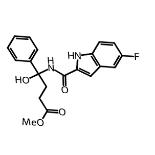 COC(=O)CCC(O)(NC(=O)c1cc2cc(F)ccc2[nH]1)c1ccccc1